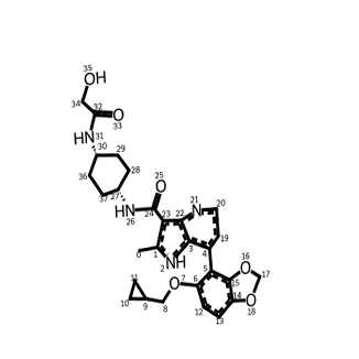 Cc1[nH]c2c(-c3c(OCC4CC4)ccc4c3OCO4)ccnc2c1C(=O)N[C@H]1CC[C@@H](NC(=O)CO)CC1